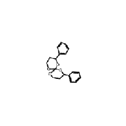 c1ccc(C2CCOC3(OCCC(c4ccccc4)O3)O2)cc1